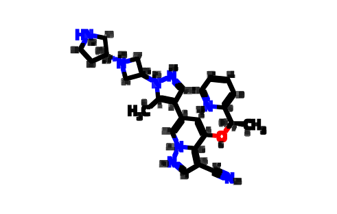 Cc1c(-c2cc(O[C@H](C)c3ccccn3)c3c(C#N)cnn3c2)cnn1C1CN([C@@H]2CCNC2)C1